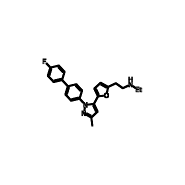 CCNCCc1ccc(-c2cc(C)nn2-c2ccc(-c3ccc(F)cc3)cc2)o1